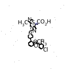 Cc1ncsc1Cn1c(/C=C/C(=O)O)cnc1CN1CCC(c2cccc3c2OC(C)(c2ccc(Cl)cc2F)O3)CC1